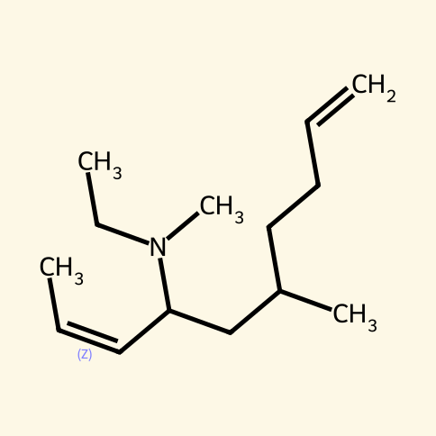 C=CCCC(C)CC(/C=C\C)N(C)CC